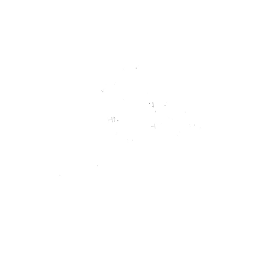 O=C(CCC1CCCCCC1)Nc1cn(CC2(O)COC2)c2cccc(Br)c12